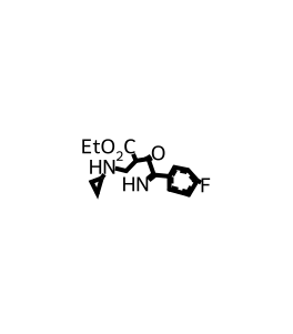 CCOC(=O)C(CNC1CC1)C(=O)C(=N)c1ccc(F)cc1